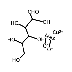 CC(=O)[O-].CC(=O)[O-].O=CC(O)C(O)C(O)C(O)CO.[Cu+2]